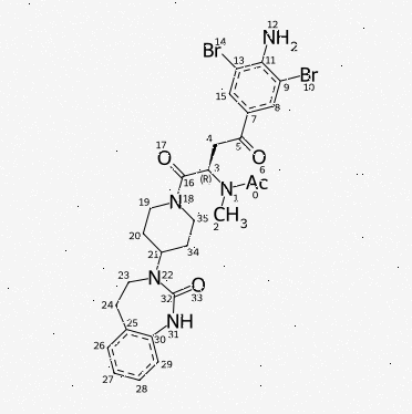 CC(=O)N(C)[C@H](CC(=O)c1cc(Br)c(N)c(Br)c1)C(=O)N1CCC(N2CCc3ccccc3NC2=O)CC1